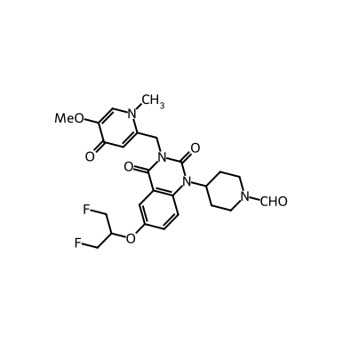 COc1cn(C)c(Cn2c(=O)c3cc(OC(CF)CF)ccc3n(C3CCN(C=O)CC3)c2=O)cc1=O